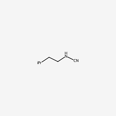 CC(C)CCNC#N